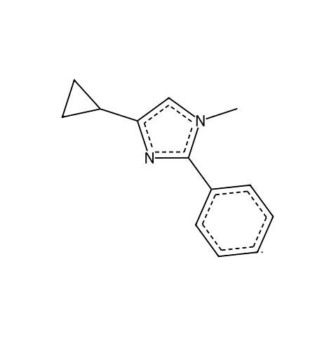 Cn1cc(C2CC2)nc1-c1cc[c]cc1